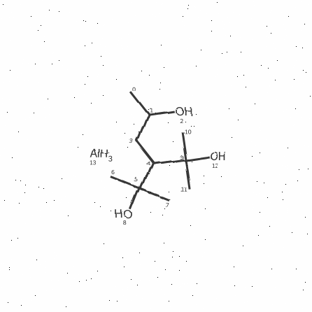 CC(O)CC(C(C)(C)O)C(C)(C)O.[AlH3]